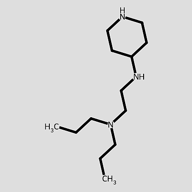 CCCN(CCC)CCNC1CCNCC1